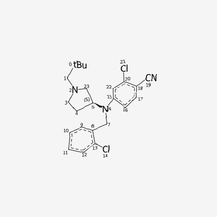 CC(C)(C)CN1CC[C@H](N(Cc2ccccc2Cl)c2ccc(C#N)c(Cl)c2)C1